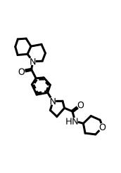 O=C(NC1CCOCC1)C1CCN(c2ccc(C(=O)N3CCCC4CCCCC43)cc2)C1